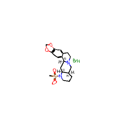 Br.CS(=O)(=O)N1CCC[C@@H]2CN3CCc4cc5c(cc4[C@@H]3C[C@@H]21)OCO5